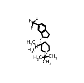 CN(C)[C@@]1(C[C@H]2CCc3ccc(C(F)(F)F)cc32)CCCN(C(C)(C)C)C1